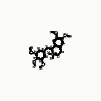 COc1cc2c(cc1OC)C(Cc1cc(OC)c(OC)c(OC)c1)[N+](C)(C)CC2